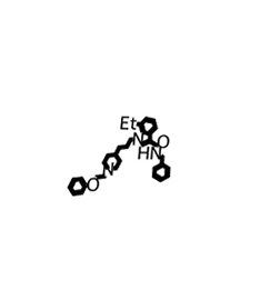 CCc1cccc2c(C(=O)NCc3ccccc3)cn(CCCC3CCN(CCOc4ccccc4)CC3)c12